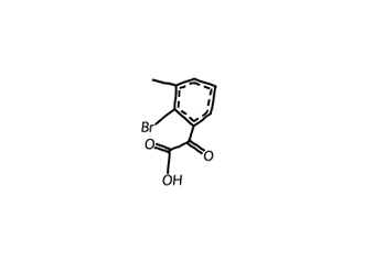 Cc1cccc(C(=O)C(=O)O)c1Br